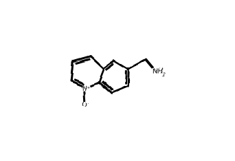 NCc1ccc2c(ccc[n+]2[O-])c1